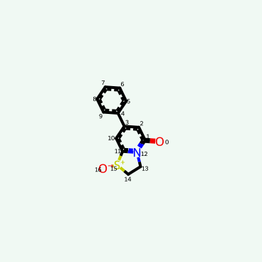 O=c1cc(-c2ccccc2)cc2n1CC[S+]2[O-]